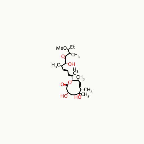 CC[C@H](OC)[C@@H](C)[C@H]1O[C@@H]1[C@H](O)[C@@H](C)/C=C/C=C(\C)[C@H]1OC(=O)C[C@H](O)CC[C@@](C)(O)[C@@H](C)/C=C/[C@@H]1C